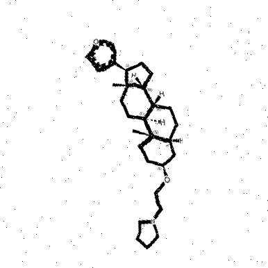 C[C@]12CC[C@H](OCCN3CCCC3)C[C@H]1CC[C@H]1[C@H]3CC[C@H](c4ccoc4)[C@@]3(C)CC[C@@H]12